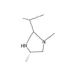 CC(C)C1N[C@@H](C)CN1C